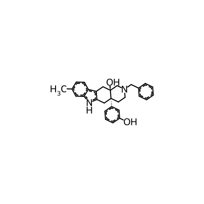 Cc1ccc2c3c([nH]c2c1)C[C@]1(c2cccc(O)c2)CCN(Cc2ccccc2)C[C@@]1(O)C3